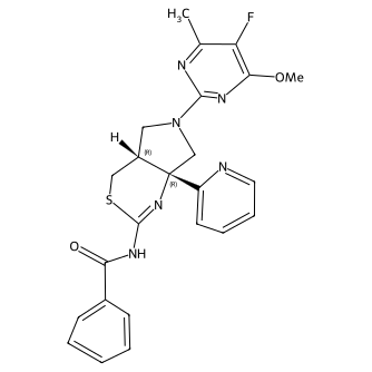 COc1nc(N2C[C@H]3CSC(NC(=O)c4ccccc4)=N[C@@]3(c3ccccn3)C2)nc(C)c1F